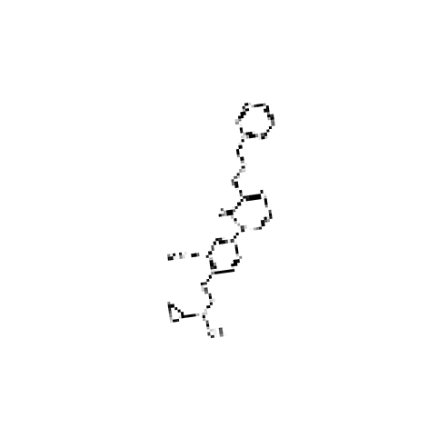 COc1cc(-n2ccnc(SCCc3ccccc3)c2=O)ccc1OCC(C)C1CC1